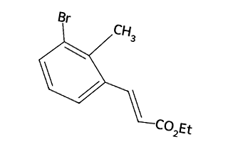 CCOC(=O)C=Cc1cccc(Br)c1C